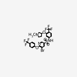 CN1CCC(Oc2cc(NS(=O)(=O)c3cnc(Oc4ccc(C(F)(F)F)cc4)c(Br)c3)ccc2C(F)(F)F)C1